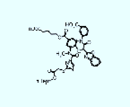 CCCCCCCCCCCCCCOC(=O)c1ccc(OC(C(=O)Nc2cccc(C(=O)O)c2)c2nc3ccccc3o2)c(N(C)C(=O)n2cnc(SCC(=O)OCCCCCCC)n2)c1